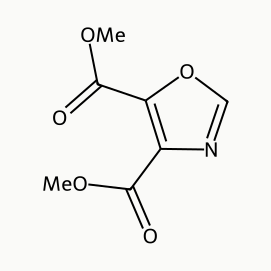 COC(=O)c1ncoc1C(=O)OC